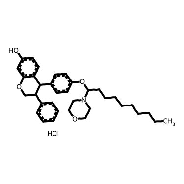 CCCCCCCCCC(Oc1ccc(C2c3ccc(O)cc3OCC2c2ccccc2)cc1)N1CCOCC1.Cl